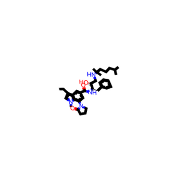 CCc1cn(C)c2c(N3CCCC3=O)cc(C(=O)N[C@@H](Cc3ccccc3)[C@H](O)CNC(C)(C)CCCC(C)C)cc12